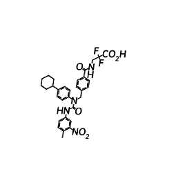 Cc1ccc(NC(=O)N(Cc2ccc(C(=O)NCC(F)(F)C(=O)O)cc2)c2ccc(C3CCCCC3)cc2)cc1[N+](=O)[O-]